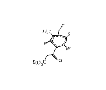 CCOC(=O)CC(=O)c1c(F)c(C)c(F)c(F)c1Br